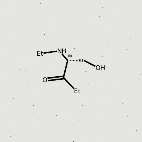 CCN[C@H](CO)C(=O)CC